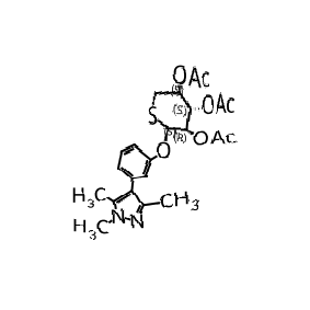 CC(=O)O[C@@H]1[C@@H](OC(C)=O)[C@@H](Oc2cccc(-c3c(C)nn(C)c3C)c2)SC[C@H]1OC(C)=O